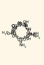 COCCNC(=O)[C@@H]1CSCC(=O)N[C@@H](CCCCN)C(=O)N[C@@H](CS)C(=O)N[C@@H](CCCNC(=N)N)C(=O)NCC(=O)N[C@@H](CC(=O)O)C(=O)N[C@@H](CS)C(=O)N[C@@H](Cc2ccccc2)C(=O)N1